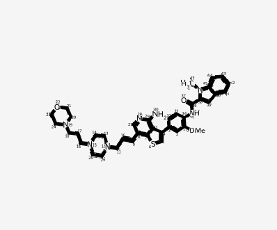 COc1cc(-c2csc3c(C=CCN4CCN(CCCN5CCOCC5)CC4)cnc(N)c23)ccc1NC(=O)c1cc2ccccc2n1C